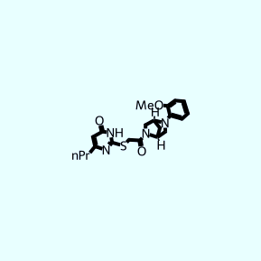 CCCc1cc(=O)[nH]c(SCC(=O)N2C[C@@H]3C[C@H]2CN3c2ccccc2OC)n1